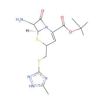 Cc1nc(SCC2C=C(C(=O)OC(C)(C)C)N3C(=O)C(N)[C@@H]3S2)n[nH]1